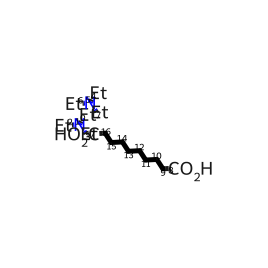 CCN(CC)CC.CCN(CC)CC.O=C(O)CCCCCCCCC(=O)O